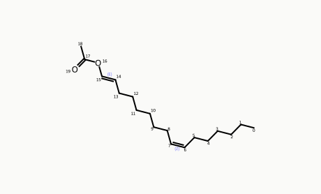 CCCCCC/C=C\CCCCCC/C=C/OC(C)=O